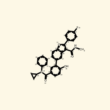 CNC(=O)c1c(-c2ccc(F)cc2)oc2ccc(-c3cc(C(=O)N(c4ccccc4)C4CC4)ccc3O)cc12